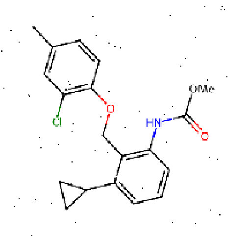 COC(=O)Nc1cccc(C2CC2)c1COc1ccc(C)cc1Cl